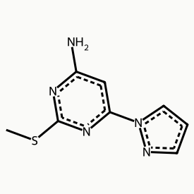 CSc1nc(N)cc(-n2cccn2)n1